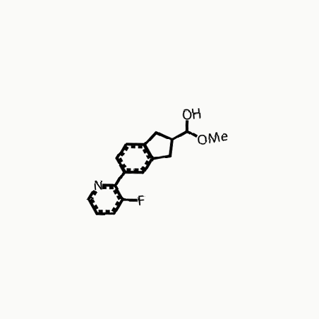 COC(O)C1Cc2ccc(-c3ncccc3F)cc2C1